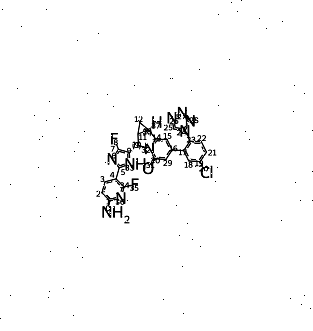 Nc1ccc(-c2nc(F)c([C@@H]3C4C[C@H]4c4cc(-c5cc(Cl)ccc5-n5cnnn5)cc(=O)n43)[nH]2)c(F)n1